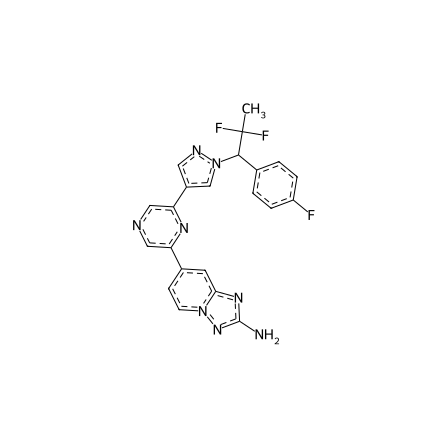 CC(F)(F)C(c1ccc(F)cc1)n1cc(-c2cncc(-c3ccn4nc(N)nc4c3)n2)cn1